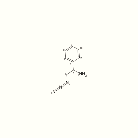 [N-]=[N+]=NCC(N)c1ccccc1